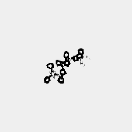 CC1(C)c2ccccc2-c2cc(-n3c4ccccc4c4c5c6ccccc6n(-c6ccc7c8ccccc8n(-c8nc(-c9ccccc9)nc(-c9ccccc9)n8)c7c6)c5ccc43)ccc21